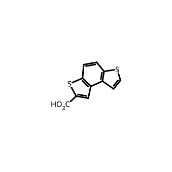 O=C(O)c1cc2c(ccc3sccc32)s1